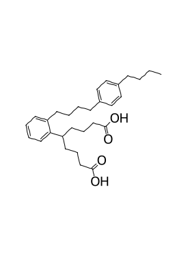 CCCCc1ccc(CCCCc2ccccc2C(CCCC(=O)O)CCCC(=O)O)cc1